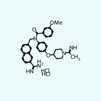 COc1cccc(C(=O)N(Cc2ccc3ccc(C(=N)N)cc3c2)c2ccc(OC3CCN(C(C)=N)CC3)cc2)c1.Cl.Cl